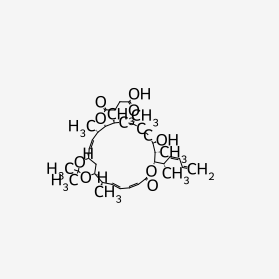 C=C/C=C\[C@H](C)[C@@H]1OC(=O)/C=C\C=C\[C@@H](C)[C@@H]2C[C@@H](/C=C\[C@H](C)[C@H](OC(=O)CCC(=O)O)[C@@H](C)C[C@@H](C)CC[C@@H](O)[C@@H]1C)OC(C)(C)O2